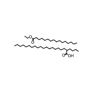 CCCCCCCCCCCCCCCC(=O)OCC.CCCCCCCCCCCCCCCCCCC(CCCC)C(=O)O